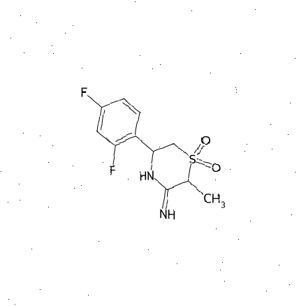 CC1C(=N)NC(c2ccc(F)cc2F)CS1(=O)=O